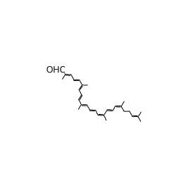 CC(C)=CCCC(C)=CC=CC(C)=CC=CC=C(C)C=CC=C(C)C=CC=C(C)C=O